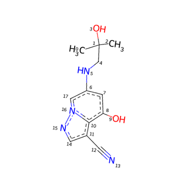 CC(C)(O)CNc1cc(O)c2c(C#N)cnn2c1